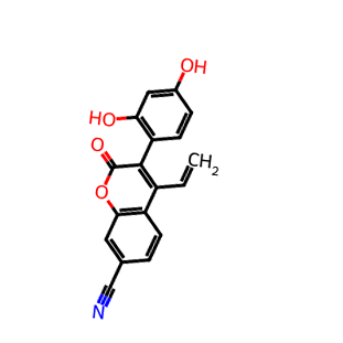 C=Cc1c(-c2ccc(O)cc2O)c(=O)oc2cc(C#N)ccc12